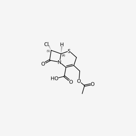 CC(=O)OCC1=C(C(=O)O)N2C(=O)[C@H](Cl)[C@H]2SC1